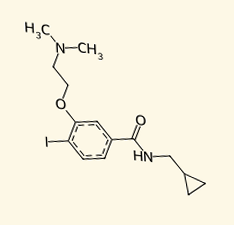 CN(C)CCOc1cc(C(=O)NCC2CC2)ccc1I